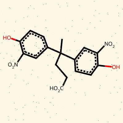 CC(CCC(=O)O)(c1ccc(O)c([N+](=O)[O-])c1)c1ccc(O)c([N+](=O)[O-])c1